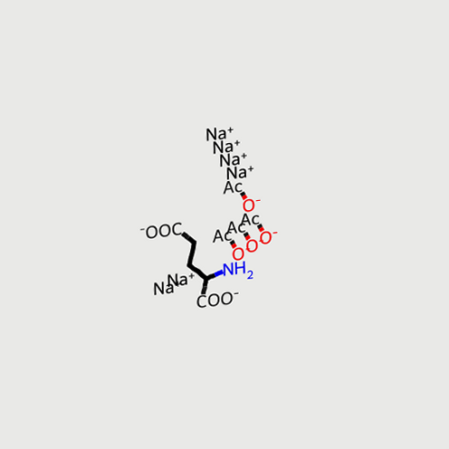 CC(=O)[O-].CC(=O)[O-].CC(=O)[O-].CC(=O)[O-].NC(CCC(=O)[O-])C(=O)[O-].[Na+].[Na+].[Na+].[Na+].[Na+].[Na+]